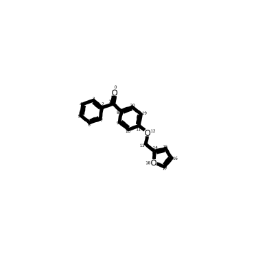 O=C(c1ccccc1)c1ccc(OCc2ccco2)cc1